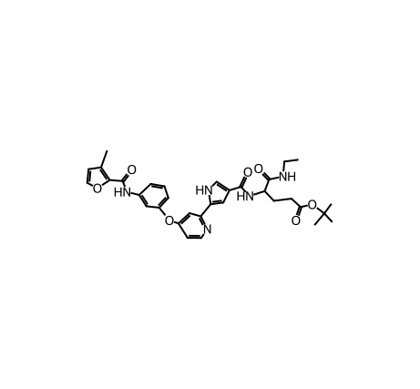 CCNC(=O)C(CCC(=O)OC(C)(C)C)NC(=O)c1c[nH]c(-c2cc(Oc3cccc(NC(=O)c4occc4C)c3)ccn2)c1